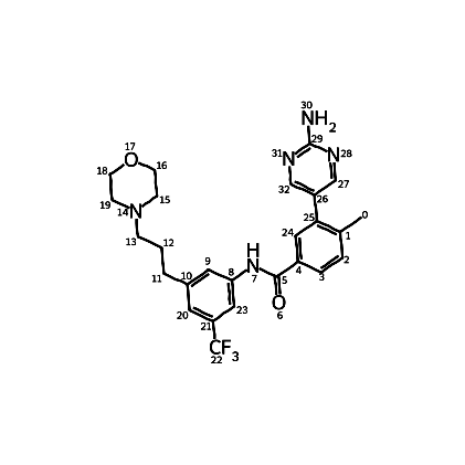 Cc1ccc(C(=O)Nc2cc(CCCN3CCOCC3)cc(C(F)(F)F)c2)cc1-c1cnc(N)nc1